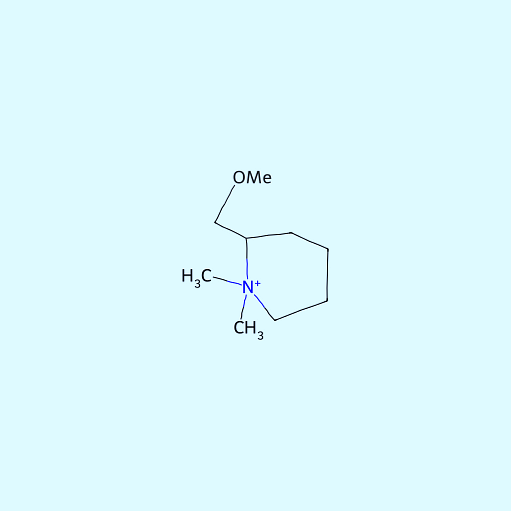 COCC1CCCC[N+]1(C)C